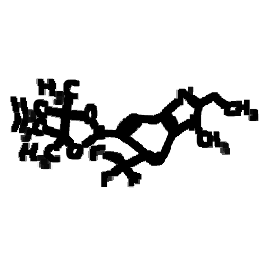 CCc1nc2cc(B3OC(C)(C)C(C)(C)O3)c(C(F)(F)F)cc2n1C